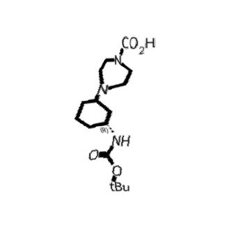 CC(C)(C)OC(=O)N[C@@H]1CCCC(N2CCN(C(=O)O)CC2)C1